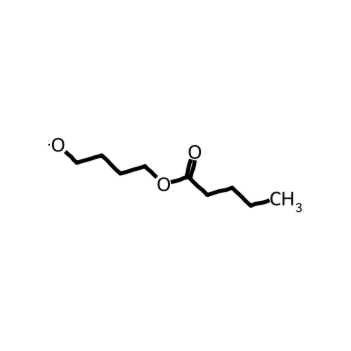 CCCCC(=O)OCCCC[O]